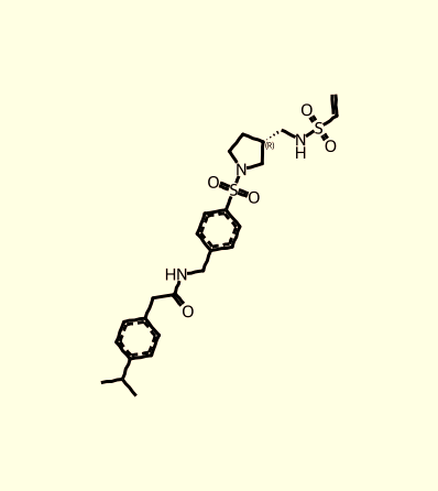 C=CS(=O)(=O)NC[C@H]1CCN(S(=O)(=O)c2ccc(CNC(=O)Cc3ccc(C(C)C)cc3)cc2)C1